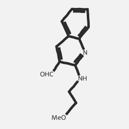 COCCNc1nc2ccccc2cc1C=O